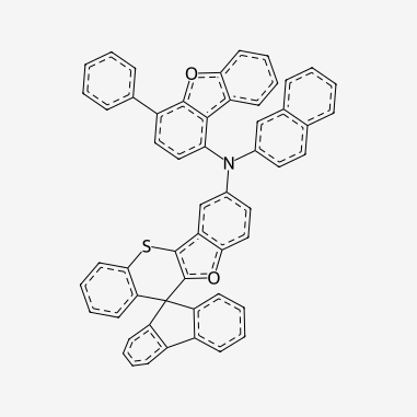 c1ccc(-c2ccc(N(c3ccc4ccccc4c3)c3ccc4oc5c(c4c3)Sc3ccccc3C53c4ccccc4-c4ccccc43)c3c2oc2ccccc23)cc1